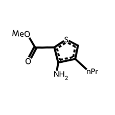 CCCc1csc(C(=O)OC)c1N